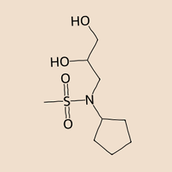 CS(=O)(=O)N(CC(O)CO)C1CCCC1